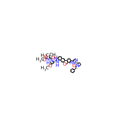 CCO[C@H]1C[C@@H](c2nc3ccc4cc5c(cc4c3[nH]2)OCc2cc(-c3cnc([C@@H]4CCCN4C(=O)[CH]c4ccccc4)[nH]3)ccc2-5)N(C(=O)[C@@H](NC(=O)OC)C(C)C)C1